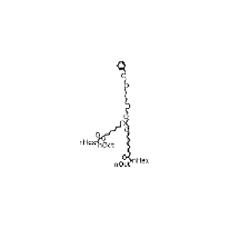 CCCCCCCCC(CCCCCC)C(=O)CCCCCCCOCC(COCCOCCCCCOCCOCC1=CCCC=C1)OCCCCCCOC(=O)C(CCCCCC)CCCCCCCC